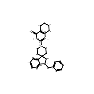 O=c1[nH]c(N2CCC3(CC2)CN(Cc2ccncc2)c2ccccc23)nc2c1CCCC2